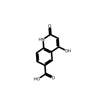 O=C(O)c1ccc2[nH]c(=O)cc(O)c2c1